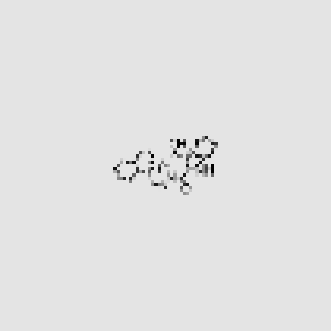 CC(C)c1c(C(=O)N/N=C\c2cncc3ccccc23)[nH]c2ccccc12